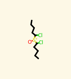 CCCCC(Cl)[S+]([O-])C(Cl)CCCC